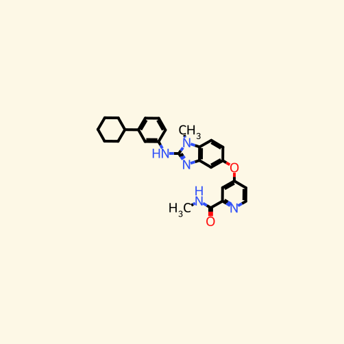 CNC(=O)c1cc(Oc2ccc3c(c2)nc(Nc2cccc(C4CCCCC4)c2)n3C)ccn1